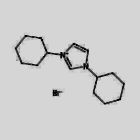 [Br-].c1c[n+](C2CCCCC2)cn1C1CCCCC1